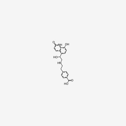 O=C(O)c1ccc(CCNCC(O)c2ccc(O)c3[nH]c(=O)ccc23)cc1